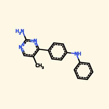 Cc1cnc(N)nc1-c1ccc(Nc2ccccc2)cc1